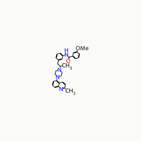 COc1cccc(C(=O)Nc2cccc(CC(C)N3CCN(c4cccc5nc(C)ccc45)CC3)c2)c1